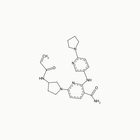 C=CC(=O)NC1CCN(c2ccc(C(N)=O)c(Nc3ccc(N4CCCC4)nc3)n2)C1